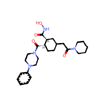 O=C(NO)[C@H]1CC(CC(=O)N2CCCCC2)CC[C@@H]1C(=O)N1CCN(c2ccccc2)CC1